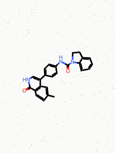 Cc1ccc2c(=O)[nH]cc(-c3ccc(NC(=O)N4CCc5ccccc54)cc3)c2c1